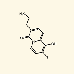 CCCc1cnc2c(O)c(I)ccn2c1=O